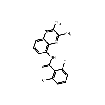 Cc1nc2cccc(NC(=O)c3c(Cl)cccc3Cl)c2nc1C